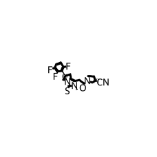 Cn1c(CC(=O)N2CC[C@@H](C#N)C2)c2n(c1=S)C[C@@H](c1c(F)ccc(F)c1F)C2